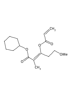 C=CC(=O)OC(CCOC)=C(C)C(=O)OC1CCCCC1